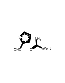 CCCCCC(N)=O.O=Cc1cccs1